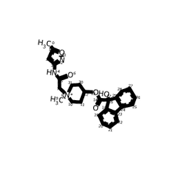 Cc1cc(NC(=O)C[N+]2(C)CCC(OC(=O)C3(O)c4ccccc4-c4ccccc43)CC2)no1